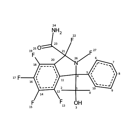 CC(C)(O)C1(c2ccccc2)c2c(F)c(F)c(F)c(F)c2C(F)(C(N)=O)N1F